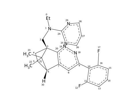 CCN(C[C@@]12CC[C@@H](c3cc(-c4c(F)cccc4F)nnc31)C2(C)C)c1ncccn1